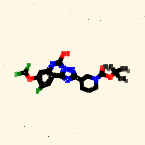 CC(C)(C)OC(=O)N1CCCC(c2nc3c4cc(F)c(OC(F)F)cc4nc(O)n3n2)C1